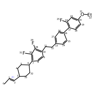 C/C=C/C1CCC(c2ccc(CCc3ccc(-c4ccc(OCC)cc4F)cc3)c(F)c2F)CC1